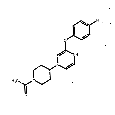 CC(=O)N1CCC(N2C=CNC(Oc3ccc(N)cc3)=C2)CC1